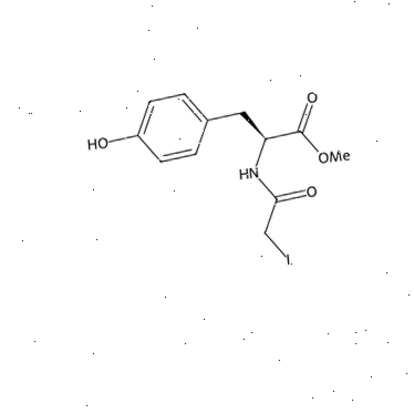 COC(=O)[C@H](Cc1ccc(O)cc1)NC(=O)CI